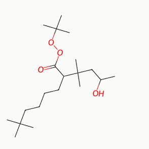 CC(O)CC(C)(C)C(CCCCC(C)(C)C)C(=O)OOC(C)(C)C